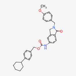 COc1ccc(CN2Cc3cc(NC(=O)OCc4ccc(C5CCCCC5)cc4)ccc3C2=O)cc1